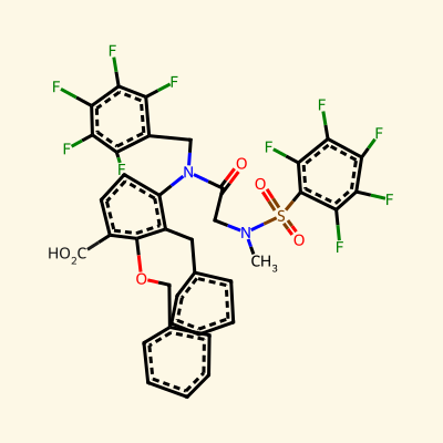 CN(CC(=O)N(Cc1c(F)c(F)c(F)c(F)c1F)c1ccc(C(=O)O)c(OCc2ccccc2)c1Cc1ccccc1)S(=O)(=O)c1c(F)c(F)c(F)c(F)c1F